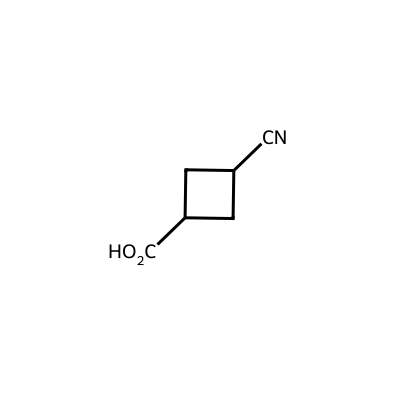 N#CC1CC(C(=O)O)C1